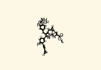 CCOC(=O)c1coc(-n2nc(-c3ccc(F)c(C#CC4CC4)c3)c(Cc3ccc(S(N)(=O)=O)c(F)c3)c2CC2CC2)n1